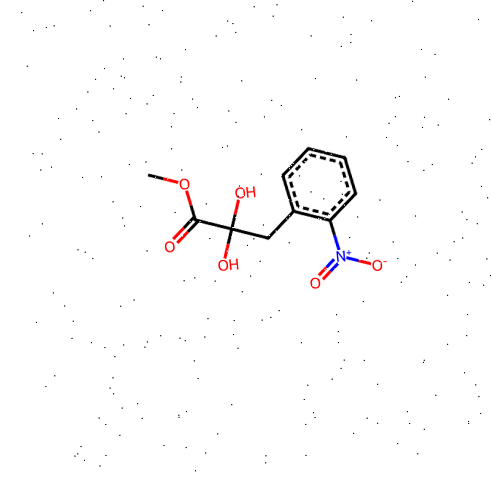 COC(=O)C(O)(O)Cc1ccccc1[N+](=O)[O-]